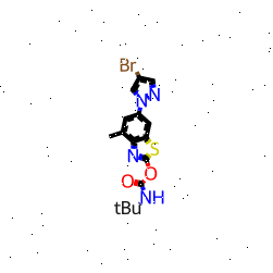 Cc1cc(-n2cc(Br)cn2)cc2sc(OC(=O)NC(C)(C)C)nc12